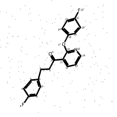 O=C(CCc1ccc(F)cc1)c1cccnc1Oc1ccc(F)cc1